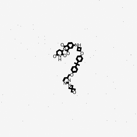 CC(C)(c1ccc(OCc2ccnc(N3CC4(COC4)C3)n2)cc1)c1ccc(O[C@H]2C[C@H](Nc3ccc4c(c3)C(=O)N(C3CCC(=O)NC3=O)C4=O)C2)cc1